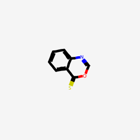 S=c1o[c]nc2ccccc12